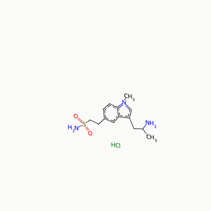 CC(N)Cc1cn(C)c2ccc(CCS(N)(=O)=O)cc12.Cl